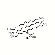 CCCCCCCCCCCCN.CCCCCCCCCCCCN.CCCCCCCCCCCCN.O=P(O)(O)O